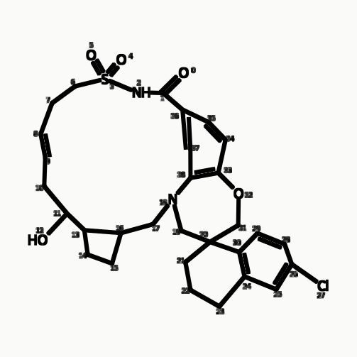 O=C1NS(=O)(=O)CC/C=C/CC(O)C2CCC2CN2CC3(CCCc4cc(Cl)ccc43)COc3ccc1cc32